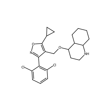 Clc1cccc(Cl)c1-c1noc(C2CC2)c1COC1CCNC2CCCCC21